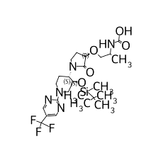 CC(CO[C@@H]1CCN([C@H]2CCN(c3ncc(C(F)(F)F)cn3)C[C@@H]2O[Si](C)(C)C(C)(C)C)C1=O)NC(=O)O